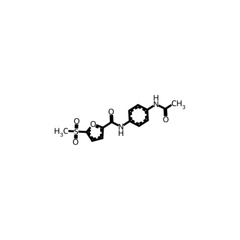 CC(=O)Nc1ccc(NC(=O)c2ccc(S(C)(=O)=O)o2)cc1